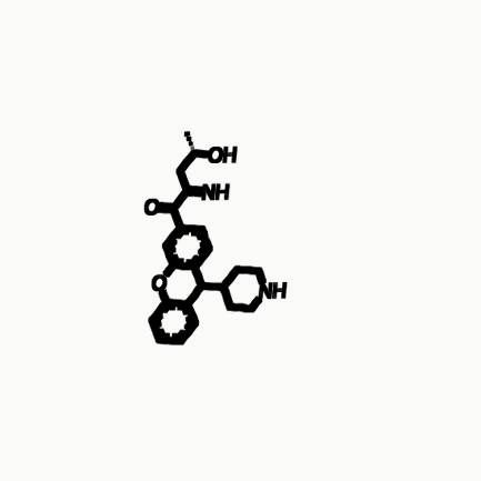 C[C@H](O)CC(=N)C(=O)c1ccc2c(c1)Oc1ccccc1C2C1CCNCC1